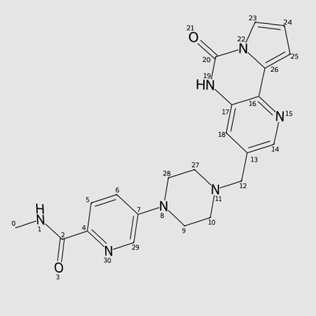 CNC(=O)c1ccc(N2CCN(Cc3cnc4c(c3)[nH]c(=O)n3cccc43)CC2)cn1